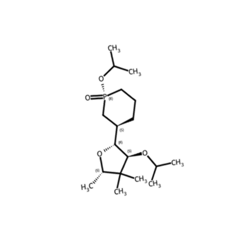 CC(C)O[C@@H]1[C@@H]([C@@H]2CCC[P@@](=O)(OC(C)C)C2)O[C@@H](C)C1(C)C